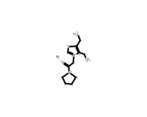 CCc1sc[n+](CC(=O)N2CCCC2)c1CC.[Br-]